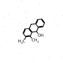 Cc1ccc2c(c1C)C(O)c1ccccc1C2